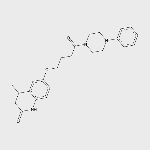 CC1CC(=O)Nc2ccc(OCCCC(=O)N3CCN(c4ccccc4)CC3)cc21